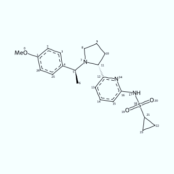 COc1ccc([C@H](C)N2CCC[C@@H]2c2cccc(NS(=O)(=O)C3CC3)n2)cc1